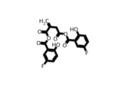 C=C(CC(=O)OC(=O)c1cc(F)ccc1O)C(=O)OC(=O)c1cc(F)ccc1O